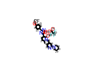 Cc1ccc(-c2nc(-c3ccc(OC(F)(F)F)cc3)no2)c(=O)n1Cc1ccnc(N2CCCCC2)c1.O=C(O)C(F)(F)F